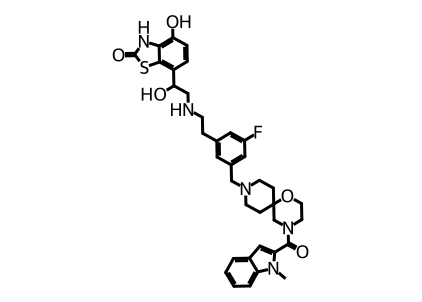 Cn1c(C(=O)N2CCOC3(CCN(Cc4cc(F)cc(CCNCC(O)c5ccc(O)c6[nH]c(=O)sc56)c4)CC3)C2)cc2ccccc21